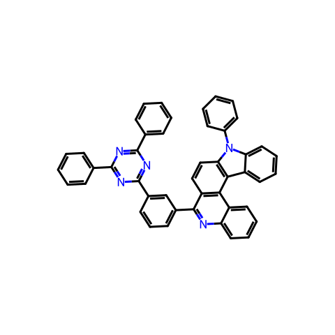 c1ccc(-c2nc(-c3ccccc3)nc(-c3cccc(-c4nc5ccccc5c5c4ccc4c5c5ccccc5n4-c4ccccc4)c3)n2)cc1